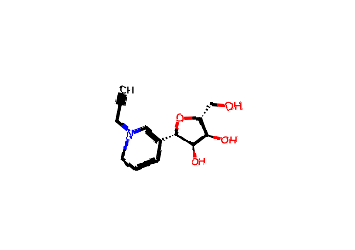 C#CCN1C=C([C@@H]2O[C@H](CO)[C@@H](O)[C@H]2O)C=CC1